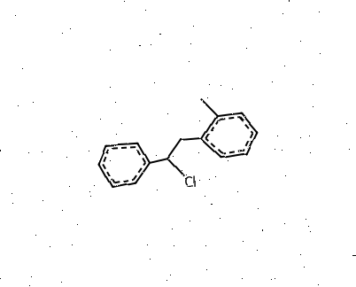 Cc1ccccc1CC(Cl)c1ccccc1